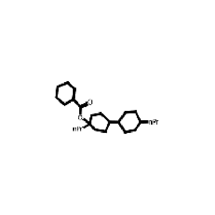 CCCC1CCC(C2CCC(CCC)(OC(=O)C3CCCCC3)CC2)CC1